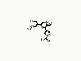 CC/C=C1/C(c2cnn(C(CC)CC)c2)=NC(/C(C=N)=C/NCCC)=CN1C